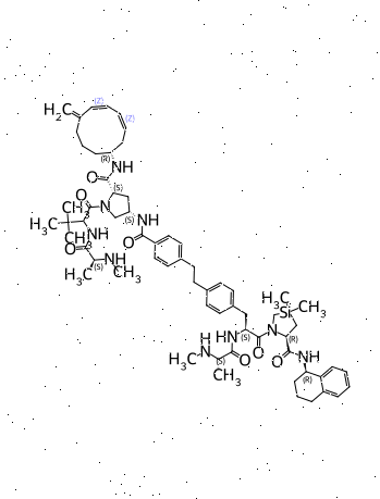 C=C1/C=C\C=C/C[C@H](NC(=O)[C@@H]2C[C@H](NC(=O)c3ccc(CCc4ccc(C[C@H](NC(=O)[C@H](C)NC)C(=O)N5C[Si](C)(C)C[C@H]5C(=O)N[C@@H]5CCCc6ccccc65)cc4)cc3)CN2C(=O)C(NC(=O)[C@H](C)NC)C(C)(C)C)CCC1